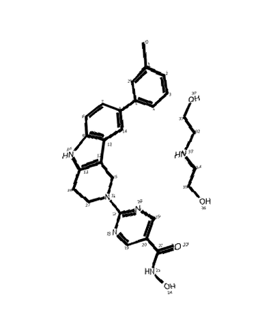 Cc1cccc(-c2ccc3[nH]c4c(c3c2)CN(c2ncc(C(=O)NO)cn2)CC4)c1.OCCNCCO